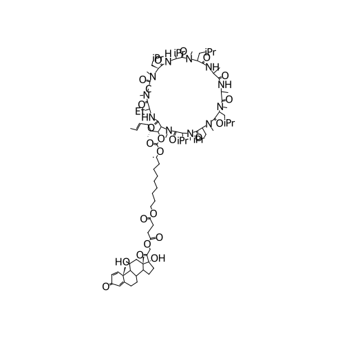 C/C=C/C[C@@H](C)C(OC(=O)O[CH]CCCCCCCCOC(=O)CCC(=O)OCC(=O)[C@@]1(O)CCC2C3CCC4=CC(=O)C=C[C@]4(C)C3[C@@H](O)C[C@@]21C)C1C(=O)NC(CC)C(=O)N(C)CC(=O)N(C)[C@@H](CC(C)C)C(=O)NC(C(C)C)C(=O)N(C)C(CC(C)C)C(=O)NC(C)C(=O)NC(C)C(=O)N(C)C(CC(C)C)C(=O)N(C)C(CC(C)C)C(=O)N(C)C(C(C)C)C(=O)N1C